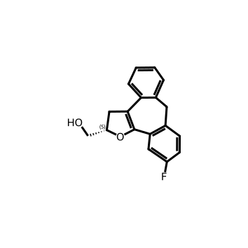 OC[C@@H]1CC2=C(O1)c1cc(F)ccc1Cc1ccccc12